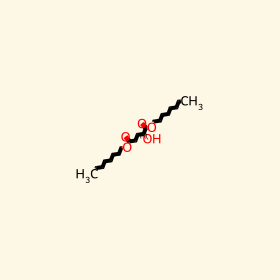 CCCCCCCCOC(=O)CC[C@@H](O)C(=O)OCCCCCCCC